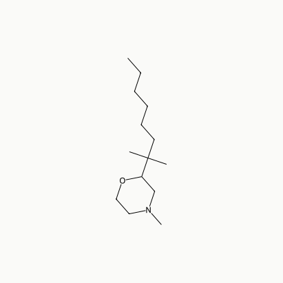 CCCCCCC(C)(C)C1CN(C)CCO1